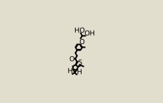 Cc1cc(CCC(=O)c2sc(C)c3c2C[C@@H]2[C@H]3C2(C)C)ccc1OCC(CO)CO